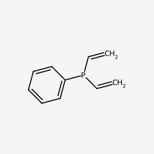 C=CP(C=C)c1ccccc1